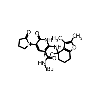 CCC(C)NC(=O)c1cc(N2CCCC2=O)c(=O)[nH]c1NC1(C)CCCc2oc(C)c(C)c21